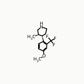 COc1ccc([C@@H]2CCNC[C@@H]2C)c(C(F)(F)F)c1